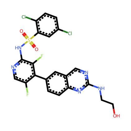 O=S(=O)(Nc1ncc(F)c(-c2ccc3nc(NCCO)ncc3c2)c1F)c1cc(Cl)ccc1Cl